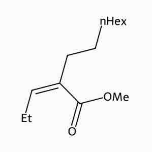 CCC=C(CCCCCCCC)C(=O)OC